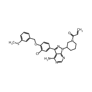 C=CC(=O)N1CCCC(n2nc(-c3ccc(OCc4cccc(SC)c4)c(Cl)c3)c3c(N)ncnc32)C1